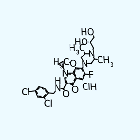 COc1c(N2CC(C)N(C[C@@H](O)CO)C(C)C2)c(F)cc2c(=O)c(C(=O)NCc3ccc(Cl)cc3Cl)cn(C3CC3)c12.Cl